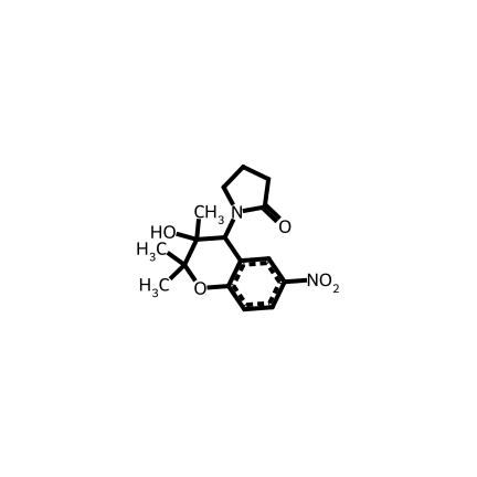 CC1(C)Oc2ccc([N+](=O)[O-])cc2C(N2CCCC2=O)C1(C)O